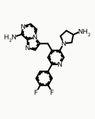 Nc1nccn2c(Cc3cc(-c4ccc(F)c(F)c4)ncc3N3CCC(N)C3)cnc12